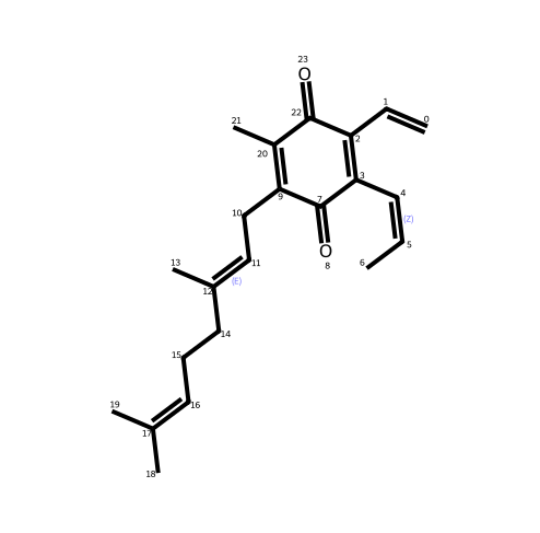 C=CC1=C(/C=C\C)C(=O)C(C/C=C(\C)CCC=C(C)C)=C(C)C1=O